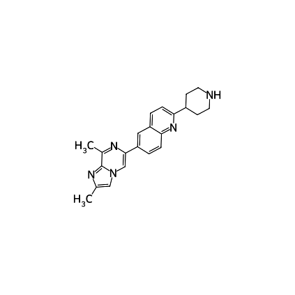 Cc1cn2cc(-c3ccc4nc(C5CCNCC5)ccc4c3)nc(C)c2n1